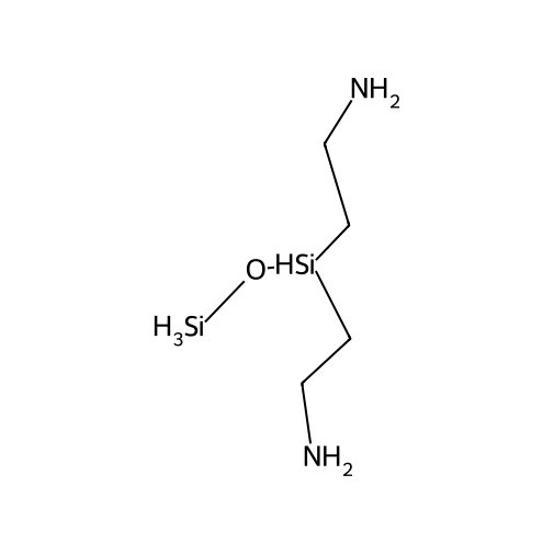 NCC[SiH](CCN)O[SiH3]